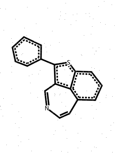 C1=Cc2cccc3sc(-c4ccccc4)c(c23)C=N1